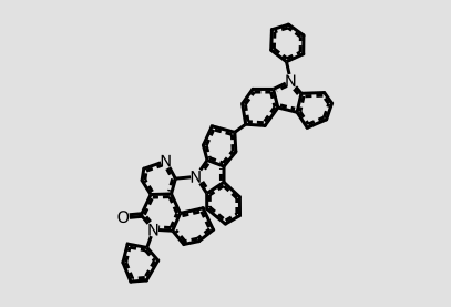 O=c1c2ccnc(-n3c4ccccc4c4cc(-c5ccc6c(c5)c5ccccc5n6-c5ccccc5)ccc43)c2c2ccccc2n1-c1ccccc1